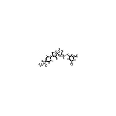 NS(=O)(=O)c1ccc(N2CCC(O)(OC(=O)NCc3cc(F)cc(Cl)c3)C2=O)cc1